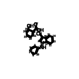 Clc1cn(Nc2ccncc2)c2ccccc12.O=C(O)c1ccccc1O